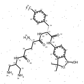 CC1(C)OB(O)c2ccc(NC(=O)[C@@H](Cc3ccc(C(F)(F)F)cc3)NC(=O)[C@@H](N)CCC(=O)NC(CN)CN)cc21